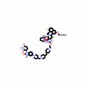 C#Cc1c(F)ccc2cc(OCOC)cc(-c3ncc4c(N5CC6CCC(C5)N6C(=O)OC(C)(C)C)nc(OCCN5CCC(F)(CC6CCN(CC7CCN(c8ccc9c(c8)n(C)c(=O)n9C8CCC(=O)NC8=O)CC7)CC6)CC5)nc4c3F)c12